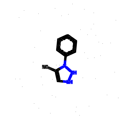 N#CC1=CNNN1c1ccccc1